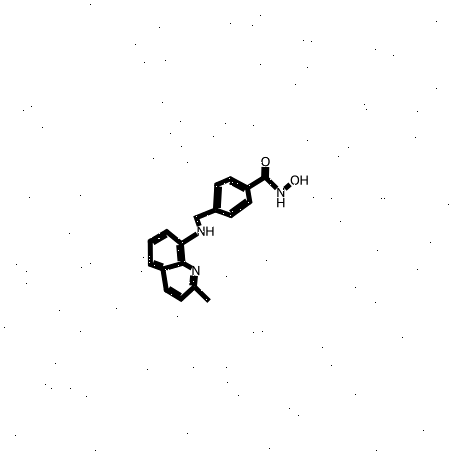 Cc1ccc2cccc(NCc3ccc(C(=O)NO)cc3)c2n1